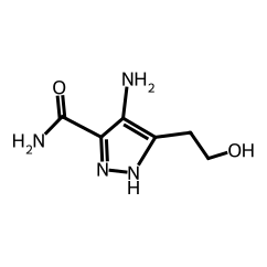 NC(=O)c1n[nH]c(CCO)c1N